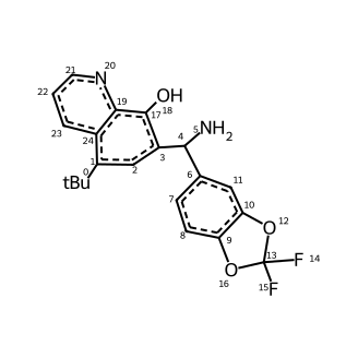 CC(C)(C)c1cc(C(N)c2ccc3c(c2)OC(F)(F)O3)c(O)c2ncccc12